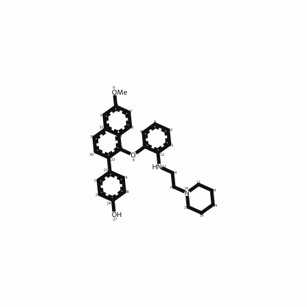 COc1ccc2c(Oc3ccccc3NCCN3CCCCC3)c(-c3ccc(O)cc3)ccc2c1